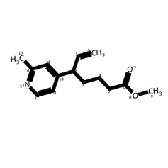 C=CC(CCCC(=O)OC)c1ccnc(C)c1